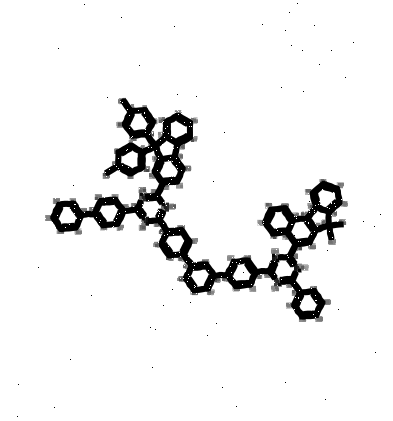 Cc1ccc(C2(c3ccc(C)cc3)c3ccccc3-c3ccc(-c4nc(-c5ccc(-c6ccccc6)cc5)nc(-c5ccc(-c6cccc(-c7ccc(-c8nc(-c9ccccc9)nc(-c9cc%10c(c%11ccccc9%11)-c9ccccc9C%10(C)C)n8)cc7)c6)cc5)n4)cc32)cc1